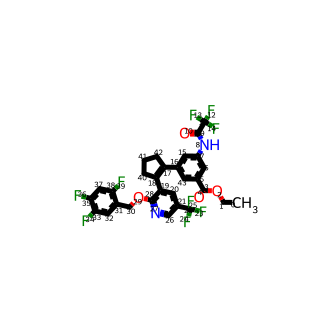 CCOC(=O)c1cc(NC(=O)C(F)(F)F)cc(C2=C(c3cc(C(F)(F)F)cnc3OCc3cc(F)c(F)cc3F)CCC2)c1